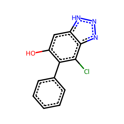 Oc1cc2[nH]nnc2c(Cl)c1-c1ccccc1